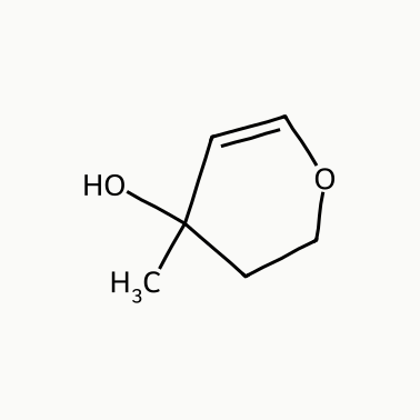 CC1(O)C=COCC1